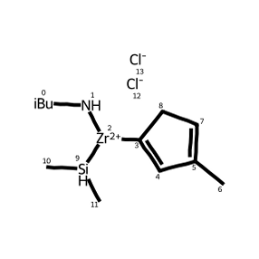 CCC(C)[NH][Zr+2]([C]1=CC(C)=CC1)[SiH](C)C.[Cl-].[Cl-]